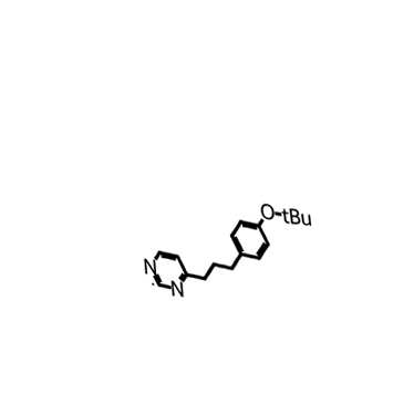 CC(C)(C)Oc1ccc(CCCc2ccn[c]n2)cc1